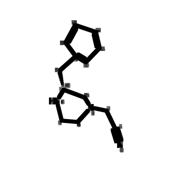 N#CCN1CCN[C@H](Cc2ccccc2)C1